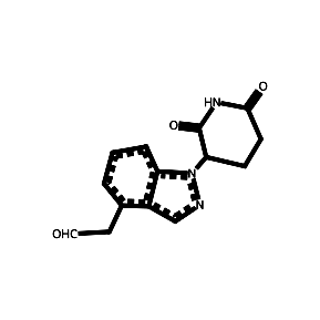 O=CCc1cccc2c1cnn2C1CCC(=O)NC1=O